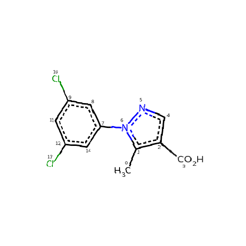 Cc1c(C(=O)O)cnn1-c1cc(Cl)cc(Cl)c1